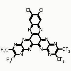 FC(F)(F)c1nc2nc3c4nc5cc(Cl)c(Cl)cc5nc4c4nc5nc(C(F)(F)F)c(C(F)(F)F)nc5nc4c3nc2nc1C(F)(F)F